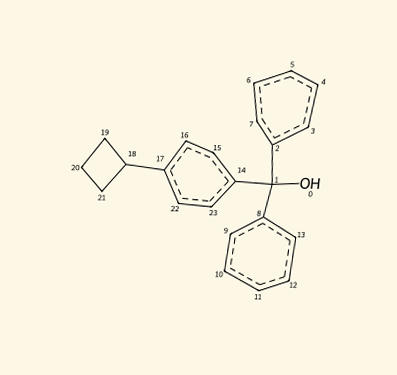 OC(c1ccccc1)(c1ccccc1)c1ccc(C2CCC2)cc1